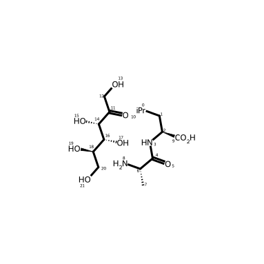 CC(C)C[C@H](NC(=O)[C@H](C)N)C(=O)O.O=C(CO)[C@@H](O)[C@H](O)[C@H](O)CO